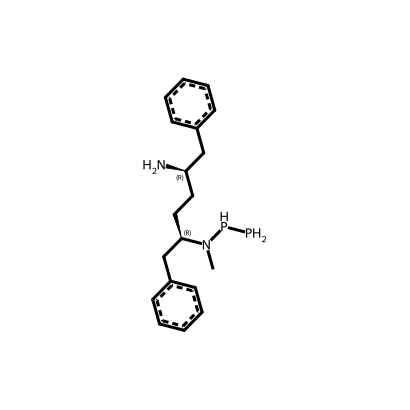 CN(PP)[C@H](CC[C@@H](N)Cc1ccccc1)Cc1ccccc1